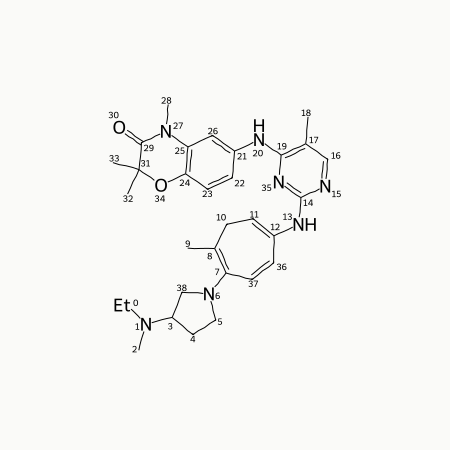 CCN(C)C1CCN(C2=C(C)CC=C(Nc3ncc(C)c(Nc4ccc5c(c4)N(C)C(=O)C(C)(C)O5)n3)C=C2)C1